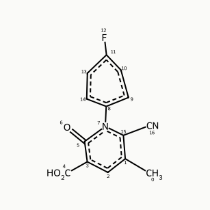 Cc1cc(C(=O)O)c(=O)n(-c2ccc(F)cc2)c1C#N